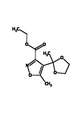 CCOC(=O)c1noc(C)c1C1(C)OCCO1